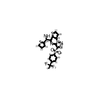 CC(F)(F)c1ccc(S(=O)(=O)c2nnn3c2nc(C(N)c2cccs2)c2sccc23)cc1